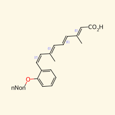 CCCCCCCCCOc1ccccc1\C=C/C(C)=C/C=C/C(C)=C/C(=O)O